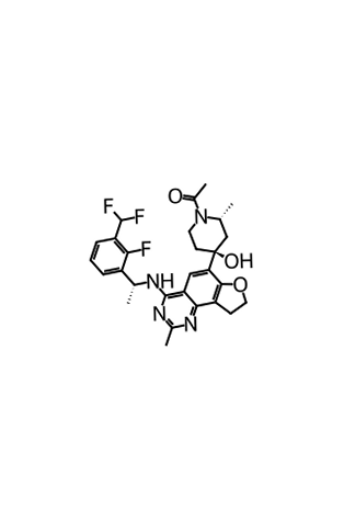 CC(=O)N1CC[C@@](O)(c2cc3c(N[C@H](C)c4cccc(C(F)F)c4F)nc(C)nc3c3c2OCC3)C[C@H]1C